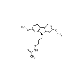 COc1ccc2c3ccc(OC)cc3n(CCCONC(C)=O)c2c1